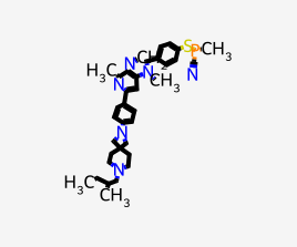 C=Nc1c(N(C)Cc2ccc(SP(C)C#N)cc2)cc(-c2ccc(N3CC4(CCN(CC(C)CC)CC4)C3)cc2)nc1C